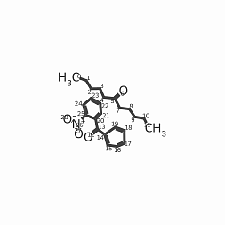 CCCCCC(=O)CCCCC.O=C(c1ccccc1)c1ccccc1[N+](=O)[O-]